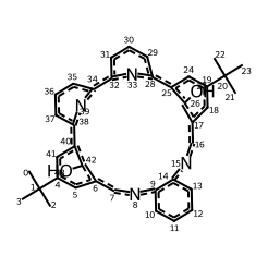 CC(C)(C)c1cc2cnc3ccccc3ncc3cc(C(C)(C)C)cc(c3O)c3cccc(n3)c3cccc(n3)c(c1)c2O